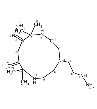 C=C1C/C(=N/O)C(C)(C)NCCN(CCNN)CCNC1(C)C